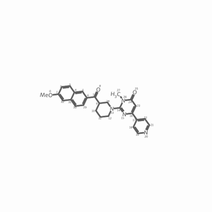 COc1ccc2cc(C(=O)C3CCCN(c4nc(-c5ccncc5)cc(=O)n4C)C3)ccc2c1